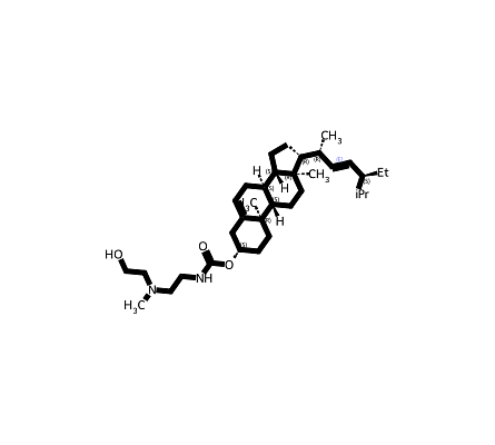 CC[C@H](/C=C/[C@@H](C)[C@H]1CC[C@H]2[C@@H]3CC=C4C[C@@H](OC(=O)NCCN(C)CCO)CC[C@]4(C)[C@H]3CC[C@]12C)C(C)C